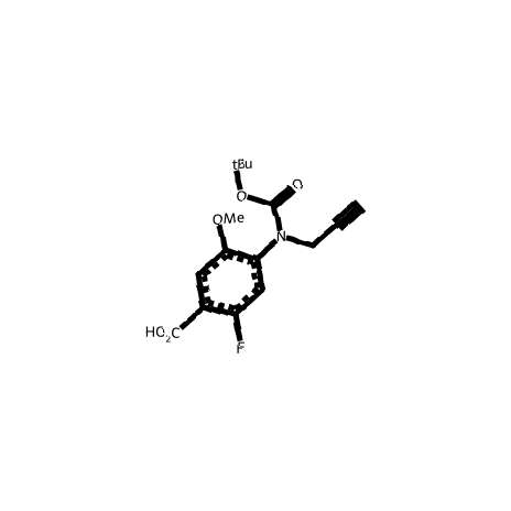 C#CCN(C(=O)OC(C)(C)C)c1cc(F)c(C(=O)O)cc1OC